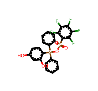 O=S(=O)(OS(c1ccccc1)(c1ccccc1)c1ccc(O)cc1O)c1c(F)c(F)c(F)c(F)c1F